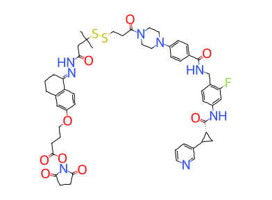 CC(C)(CC(=O)N/N=C1\CCCc2cc(OCCCC(=O)ON3C(=O)CCC3=O)ccc21)SSCCC(=O)N1CCN(c2ccc(C(=O)NCc3ccc(NC(=O)[C@@H]4CC4c4cccnc4)cc3F)cc2)CC1